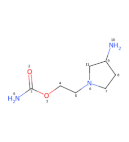 NC(=O)OCCN1CCC(N)C1